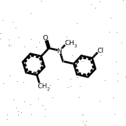 [CH2]c1cccc(C(=O)N(C)Cc2cccc(Cl)c2)c1